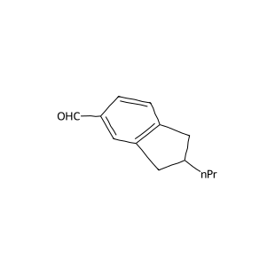 CCCC1Cc2ccc(C=O)cc2C1